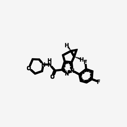 O=C(NN1CCOCC1)c1nn(-c2ccc(F)cc2F)c2c1C[C@H]1C[C@@H]21